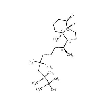 C[C@@H](CCCC(C)(C)CC(C)(C)[Si](C)(C)O)[C@H]1CC[C@H]2C(=O)CCC[C@]12C